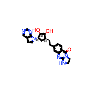 O=c1c2ccc(CC[C@H]3C[C@@H](n4ccc5cncnc54)[C@H](O)[C@@H]3O)cc2nc2n1CCN2